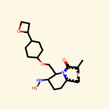 Cc1ccc2n(c1=O)C(COC1CCC(C3CCO3)CC1)C(NS)CC2